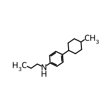 CCCNc1ccc(C2CCC(C)CC2)cc1